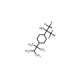 CC(C)C(C)(C)C1CCC(C(O)(C(F)(F)F)C(F)(F)F)CC1